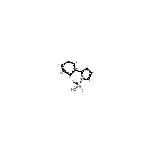 O=S(=O)(O)n1cccc1-c1ccccc1